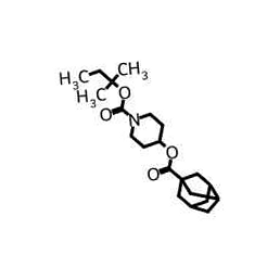 CCC(C)(C)OC(=O)N1CCC(OC(=O)C23CC4CC(C2)C(C4)C3)CC1